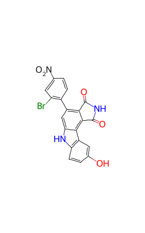 O=C1NC(=O)c2c1c(-c1ccc([N+](=O)[O-])cc1Br)cc1[nH]c3ccc(O)cc3c21